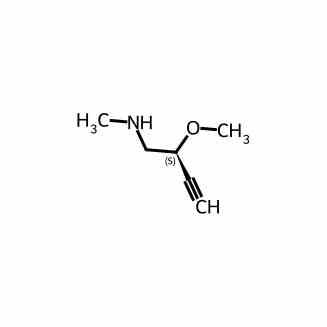 C#C[C@@H](CNC)OC